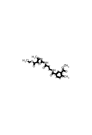 CCOC(=O)c1sc(NC(=O)CCNC(=O)c2ccc(C)c(C(=O)OC)c2)nc1C